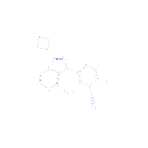 N#Cc1cc(-c2nc(C3CCC3)n3ccnc(N)c23)ccc1F